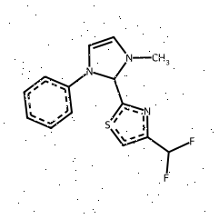 CN1C=CN(c2ccccc2)C1c1nc(C(F)F)cs1